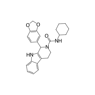 O=C(NC1CCCCC1)N1CCc2c([nH]c3ccccc23)C1c1ccc2c(c1)OCO2